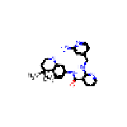 CC1(C)CCNc2cc(NC(=O)c3cccnc3NCc3ccnc(N)c3)ccc21